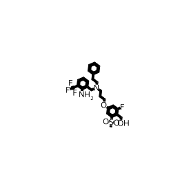 CS(=O)(=O)c1cc(OCCCN(CCc2ccccc2)Cc2cccc(C(F)(F)F)c2N)cc(F)c1CO